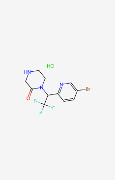 Cl.O=C1CNCCN1C(c1ccc(Br)cn1)C(F)(F)F